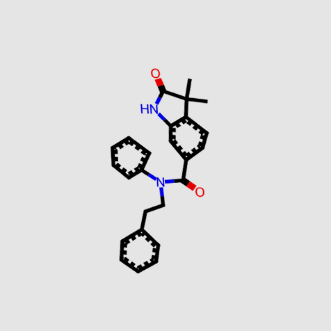 CC1(C)C(=O)Nc2cc(C(=O)N(CCc3ccccc3)c3ccccc3)ccc21